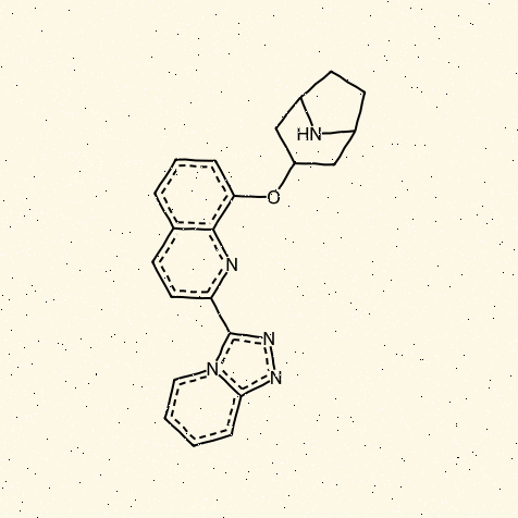 c1cc(OC2CC3CCC(C2)N3)c2nc(-c3nnc4ccccn34)ccc2c1